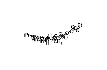 CCSC1CC(=O)N(CCOCCOCCN2C(=O)CC(SCC(C)CC(C)(C)CCCCN/C=C(/COC/C(=C/NCCCCC(C)C)N=N)N=N)C2=O)C1=O